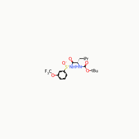 CC(C)C[C@H](NC(=O)OC(C)(C)C)C(=O)N[S+]([O-])c1cccc(OC(F)(F)F)c1